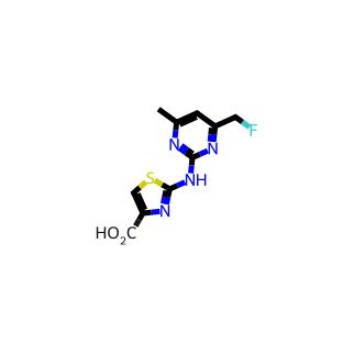 Cc1cc(CF)nc(Nc2nc(C(=O)O)cs2)n1